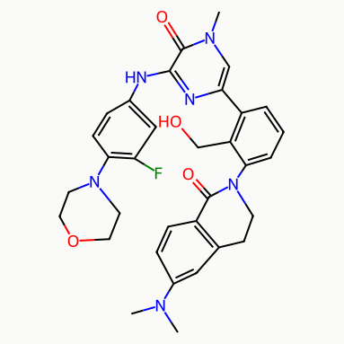 CN(C)c1ccc2c(c1)CCN(c1cccc(-c3cn(C)c(=O)c(Nc4ccc(N5CCOCC5)c(F)c4)n3)c1CO)C2=O